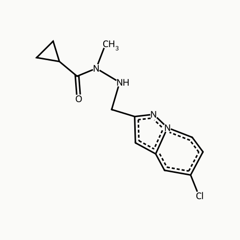 CN(NCc1cc2cc(Cl)ccn2n1)C(=O)C1CC1